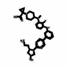 CN(c1cccc(Nc2cc(-c3cnc(N4CC(O)CC4CCN)nc3)ccn2)c1F)C1CCN(C2(C(=O)O)CC2)CC1